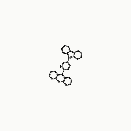 c1ccc2c(-c3ccc(-n4c5ccccc5c5ccccc54)cn3)c3ccccc3cc2c1